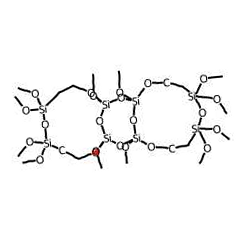 CO[Si]1(OC)CCO[Si]2(OC)O[Si](OC)(OCC[Si](OC)(OC)O1)O[Si]1(OC)OCC[Si](OC)(OC)O[Si](OC)(OC)CCO[Si](OC)(O1)O2